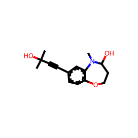 CN1c2cc(C#CC(C)(C)O)ccc2OCCC1O